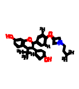 [2H]c1cc(C2Oc3cc(O)ccc3C(C([2H])([2H])[2H])=C2c2ccc(O)cc2)cc([2H])c1OC1CN(CCC([2H])[2H])C1